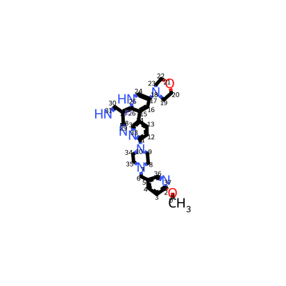 COc1ccc(CN2CCN(c3ccc(C4=CC(N5CCOCC5)=CN/C4=C(/C#N)C=N)cn3)CC2)cn1